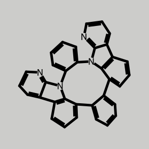 c1ccc2c(c1)c1cccc3c4cccnc4n(c4ccccc4n4c5ncccc5c5cccc2c54)c13